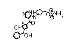 NS(=O)(=O)OCC1CC[C@H](Nc2ncncc2C(=O)c2cc(C(O)c3ccccc3)c(Cl)s2)C1